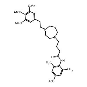 COc1cc(CCN2CCCN(CCCC(=O)Nc3c(C)cc(OC(C)=O)cc3C)CC2)cc(OC)c1OC